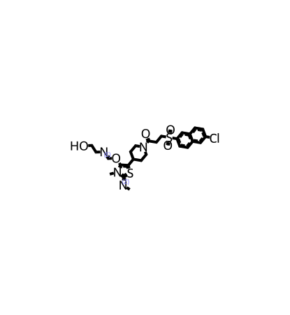 C/N=c1\sc(C2CCN(C(=O)CCS(=O)(=O)c3ccc4cc(Cl)ccc4c3)CC2)c(O/C=N/CCO)n1C